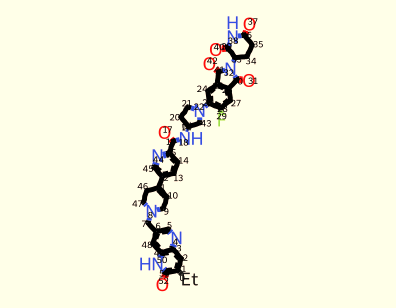 CCc1cc2ncc(CN3CC=C(c4ccc(C(=O)N[C@H]5CCN(c6cc7c(cc6F)C(=O)N(C6CCC(=O)NC6=O)C7=O)C5)nc4)CC3)cc2[nH]c1=O